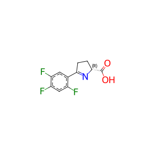 O=C(O)[C@H]1CCC(c2cc(F)c(F)cc2F)=N1